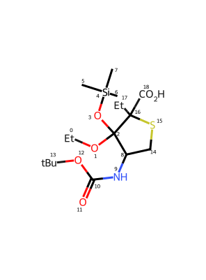 CCOC1(O[Si](C)(C)C)C(NC(=O)OC(C)(C)C)CSC1(CC)C(=O)O